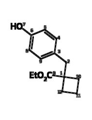 CCOC(=O)C1(Cc2ccc(O)cc2)CCC1